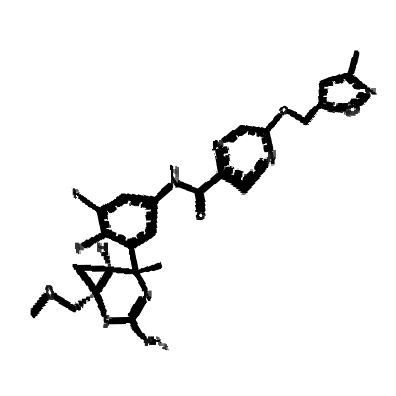 COC[C@]12C[C@H]1[C@](C)(c1cc(NC(=O)c3cnc(OCc4cc(C)no4)cn3)cc(F)c1F)N=C(N)S2